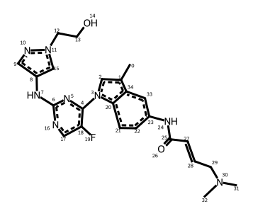 Cc1cn(-c2nc(Nc3cnn(CCO)c3)ncc2F)c2ccc(NC(=O)/C=C/CN(C)C)cc12